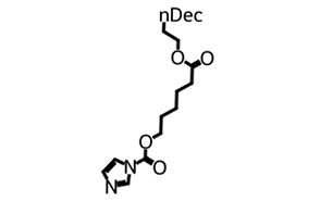 CCCCCCCCCCCCOC(=O)CCCCCOC(=O)n1ccnc1